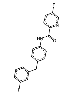 O=C(Nc1ccc(Cc2cccc(F)c2)cn1)c1ncc(F)cn1